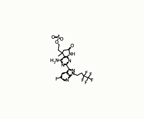 CC1(CCOS(C)(=O)=O)CC(=O)Nc2nc(-c3nn(CCC(F)(F)C(F)(F)F)c4ncc(F)cc34)nc(N)c21